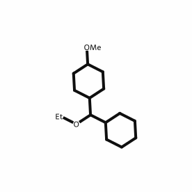 CCOC(C1CCCCC1)C1CCC(OC)CC1